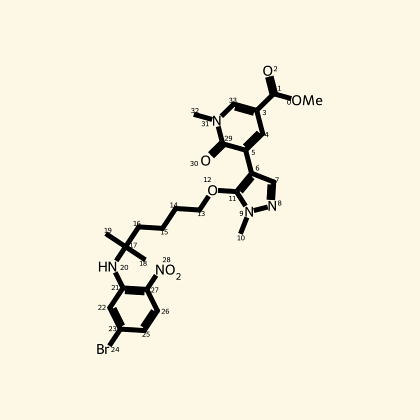 COC(=O)c1cc(-c2cnn(C)c2OCCCCC(C)(C)Nc2cc(Br)ccc2[N+](=O)[O-])c(=O)n(C)c1